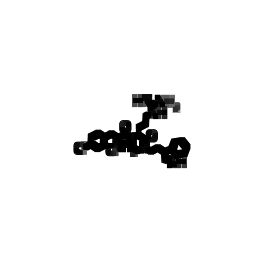 N=C(N)NCCC[C@H]1C(=O)N(CCc2c[nH]c3ccccc23)CCN1C(=O)[C@H](N)Cc1ccc(Cl)cc1Cl